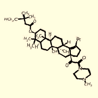 CC(C)C1=C2[C@H]3CC[C@@H]4[C@@]5(C)CC[C@H](OC(=O)CC(C)(C)C(=O)O)C(C)(C)[C@@H]5CC[C@@]4(C)[C@]3(C)CC[C@@]2(C(=O)C(=O)N2CCN(C)CC2)CC1